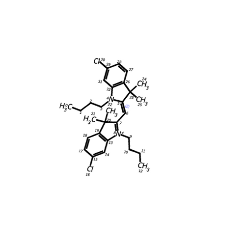 CCCCN1/C(=C\C2=[N+](CCCC)c3cc(Cl)ccc3C2(C)C)C(C)(C)c2ccc(Cl)cc21